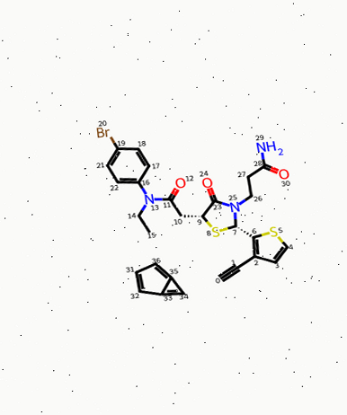 C#Cc1ccsc1[C@@H]1S[C@H](CC(=O)N(CC)c2ccc(Br)cc2)C(=O)N1CCC(N)=O.c1cc2cc-2c1